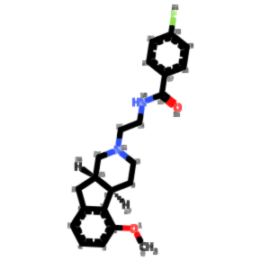 COc1cccc2c1[C@@H]1CCN(CCNC(=O)c3ccc(F)cc3)C[C@H]1C2